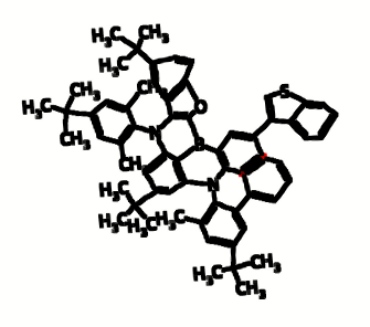 Cc1cc(C(C)(C)C)cc(C)c1N1c2cc(C(C)(C)C)cc3c2B(c2cc(-c4csc5ccccc45)ccc2N3c2c(C)cc(C(C)(C)C)cc2-c2ccccc2)c2oc3ccc(C(C)(C)C)cc3c21